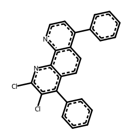 Clc1nc2c(ccc3c(-c4ccccc4)ccnc32)c(-c2ccccc2)c1Cl